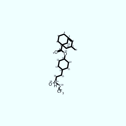 CC1C=C2CCCC(C(=O)OC3CCC(CC[NH+]([O-])SC(F)(F)F)CC3)(C2)C1